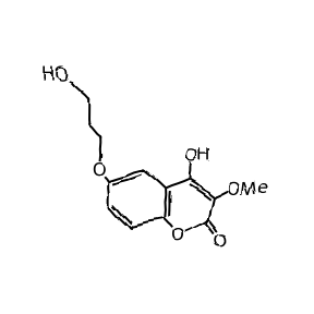 COc1c(O)c2cc(OCCCO)ccc2oc1=O